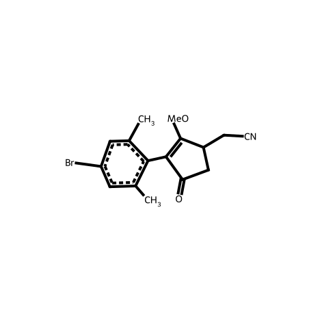 COC1=C(c2c(C)cc(Br)cc2C)C(=O)CC1CC#N